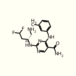 Cc1cccc(Nc2nc(N[C@@H](CN)CC(F)F)ncc2C(N)=O)c1